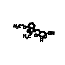 CCOc1cccc([SiH2]CC(CC(=O)O)C(=O)O)c1OCC